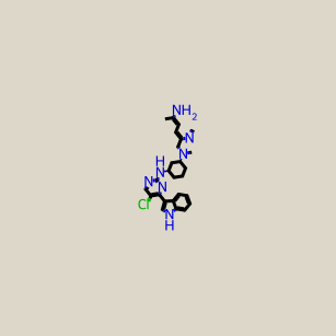 C=N/C(=C\C=C(/C)N)CN(C)[C@H]1CCC[C@@H](Nc2ncc(Cl)c(-c3c[nH]c4ccccc34)n2)C1